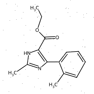 CCOC(=O)c1[nH]c(C)nc1-c1ccccc1C